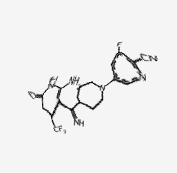 N#Cc1ncc(N2CCC(C(=N)C3=C(N)NC(=O)CC3C(F)(F)F)CC2)cc1F